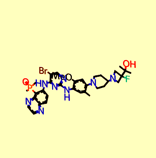 COc1cc(N2CCC(N3CC(F)(C(C)(C)O)C3)CC2)c(C)cc1Nc1ncc(Br)c(Nc2ccc3nccnc3c2P(C)(C)=O)n1